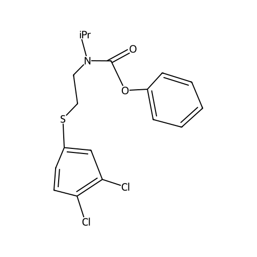 CC(C)N(CCSc1ccc(Cl)c(Cl)c1)C(=O)Oc1ccccc1